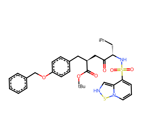 CC(C)C[C@H](NS(=O)(=O)C1=CC=CN2SNC=C12)C(=O)C[C@H](Cc1ccc(OCc2ccccc2)cc1)C(=O)OC(C)(C)C